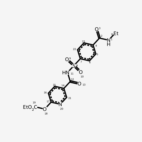 CCNC(=O)c1ccc(S(=O)(=O)NC(=O)c2ccc(OC(=O)OCC)nc2)cc1